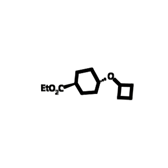 CCOC(=O)[C@H]1CC[C@H](OC2CCC2)CC1